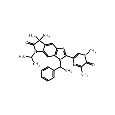 Cc1nc(-c2nc3cc4c(cc3n2C(C)c2ccccc2)N(C(C)C)C(=O)C4(C)N)cn(C)c1=O